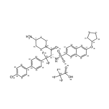 NC1CCN(C(=O)[C@H](NS(=O)(=O)c2ccc3cc(OC4CCCC4)ccc3c2)C(F)(F)c2ccc(-c3ccc(Cl)cc3)cc2)CC1.O=C(O)C(F)(F)F